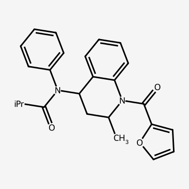 CC(C)C(=O)N(c1ccccc1)C1CC(C)N(C(=O)c2ccco2)c2ccccc21